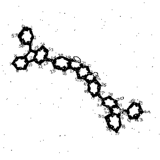 c1ccc(C2c3ccccc3-c3cc(-c4ccc5c(c4)oc4cc6oc7cc(-c8ccc9c(c8)c8ccccc8n9-c8ccccc8)ccc7c6cc45)ccc32)cc1